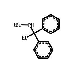 CCC(PC(C)(C)C)(c1ccccc1)c1ccccc1